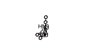 CC(C)(CCC[C@H](NC(=O)c1ccc(-c2ccccc2)cc1)C(=O)N1CCS(=O)(=O)CC1)[Si](O)(c1ccccc1)c1ccccc1